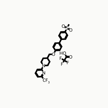 CS(=O)(=O)c1ccc(-c2ccc(OCC3CCN(c4cccc(C(F)(F)F)n4)CC3)cc2)cc1.O=C(O)C(F)(F)F